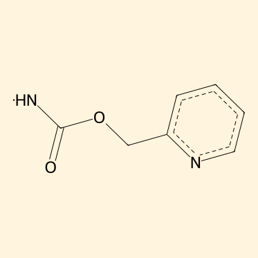 [NH]C(=O)OCc1ccccn1